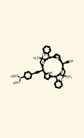 C#Cc1c2nc(c(-c3ccccc3)c3ccc([nH]3)c(C#Cc3ccc(N(CCCCCCCC)CCCCCCCC)cc3)c3nc(c(-c4ccccc4)c4ccc1[nH]4)C(C)(C)C3)C(C)(C)C2